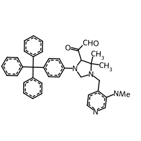 CNc1cnccc1CN1CN(c2ccc(C(c3ccccc3)(c3ccccc3)c3ccccc3)cc2)C(C(=O)C=O)C1(C)C